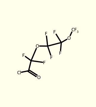 O=C(Cl)C(F)(F)OC(F)(F)C(F)(F)OC(F)(F)F